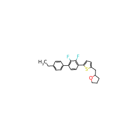 CCc1ccc(-c2ccc(-c3ccc(CC4CCCO4)s3)c(F)c2F)cc1